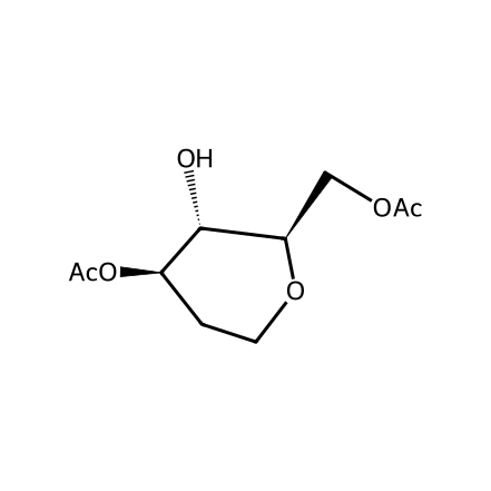 CC(=O)OC[C@H]1OCC[C@@H](OC(C)=O)[C@@H]1O